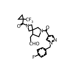 O=CCC1CN(C(=O)c2cnn(Cc3ccc(F)cc3)c2)CC12CN(C(=O)C1(C(F)(F)F)CC1)C2